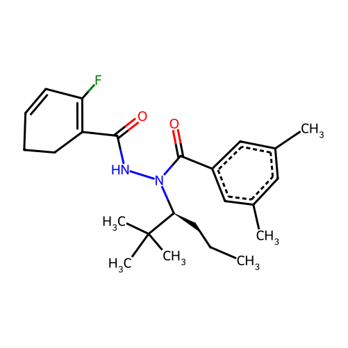 CCC[C@H](N(NC(=O)C1=C(F)C=CCC1)C(=O)c1cc(C)cc(C)c1)C(C)(C)C